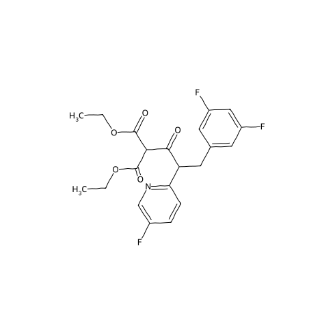 CCOC(=O)C(C(=O)OCC)C(=O)C(Cc1cc(F)cc(F)c1)c1ccc(F)cn1